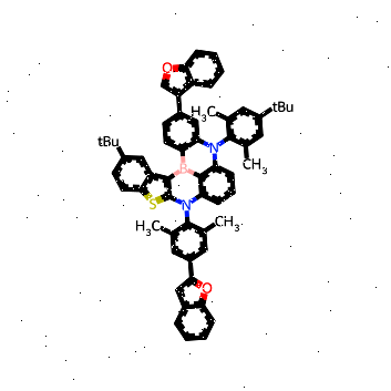 Cc1cc(C(C)(C)C)cc(C)c1N1c2cc(-c3coc4ccccc34)ccc2B2c3c1cccc3N(c1c(C)cc(-c3cc4ccccc4o3)cc1C)c1sc3ccc(C(C)(C)C)cc3c12